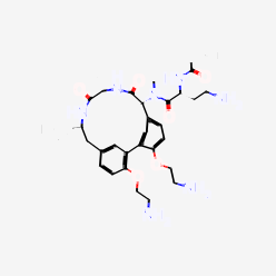 CCCCCCCCC(=O)N[C@@H](CCN)C(=O)N(C)[C@@H]1C(=O)N[C@@H](C)C(=O)N[C@H](C(=O)O)Cc2ccc(OCCN)c(c2)-c2cc1ccc2OCCN